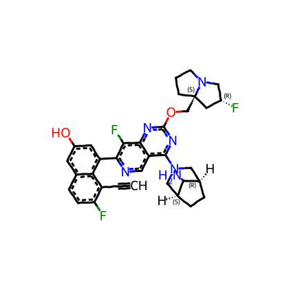 C#Cc1c(F)ccc2cc(O)cc(-c3ncc4c(N5C[C@H]6CC[C@@H](C5)C6N)nc(OC[C@@]56CCCN5C[C@H](F)C6)nc4c3F)c12